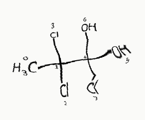 CC(Cl)(Cl)C(O)(O)Cl